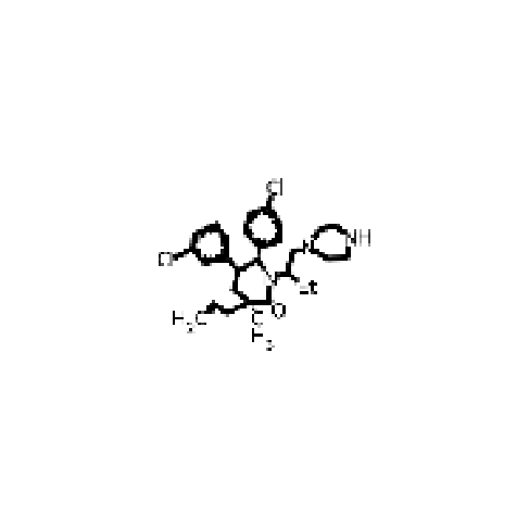 C=CC[C@@]1(C)CC(c2cccc(Cl)c2)[C@@H](c2ccc(Cl)cc2)N(C(CC)CN2CCNCC2)C1=O